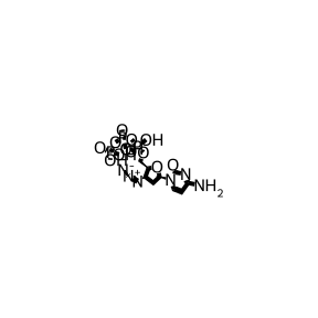 [N-]=[N+]=N[C@H]1C[C@H](n2ccc(N)nc2=O)O[C@@H]1COP(=O)(O)OP(=O)(O)OP(=O)(O)O